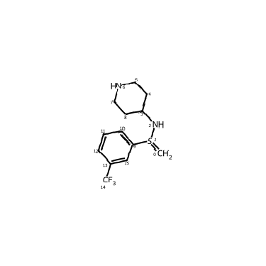 C=S(NC1CCNCC1)c1cccc(C(F)(F)F)c1